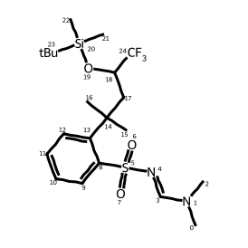 CN(C)C=NS(=O)(=O)c1ccccc1C(C)(C)CC(O[Si](C)(C)C(C)(C)C)C(F)(F)F